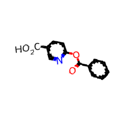 O=C(O)c1ccc(OC(=O)c2ccccc2)nc1